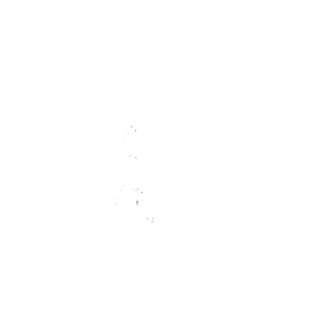 CN=CC(=O)Oc1csc(N)n1